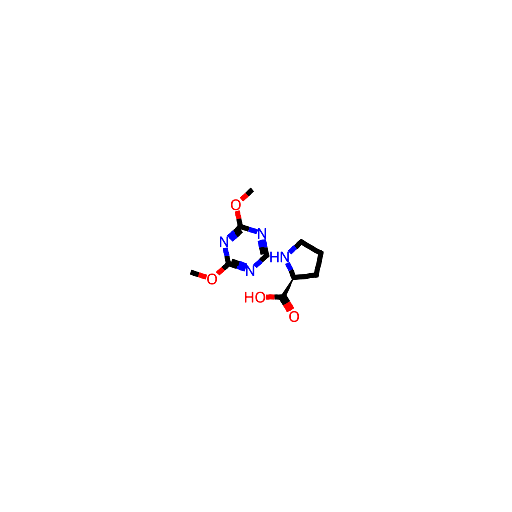 COc1ncnc(OC)n1.O=C(O)[C@@H]1CCCN1